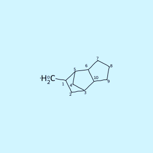 [CH2]C1CC2CC1C1CCCC21